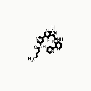 CCCCC(=O)Nc1cncc(-c2cnc3[nH]nc(-c4nc5c(-c6ccccn6)nccc5[nH]4)c3c2F)c1